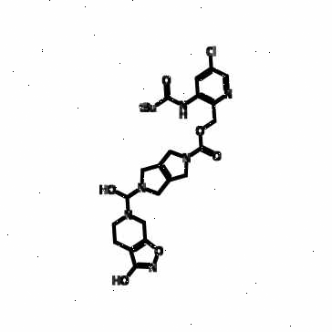 CC(C)(C)C(=O)Nc1cc(Cl)cnc1COC(=O)N1CC2=C(C1)CN(C(O)N1CCc3c(O)noc3C1)C2